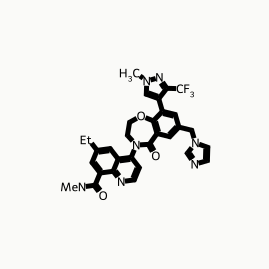 CCc1cc(C(=O)NC)c2nccc(N3CCOc4c(cc(Cn5ccnc5)cc4-c4cn(C)nc4C(F)(F)F)C3=O)c2c1